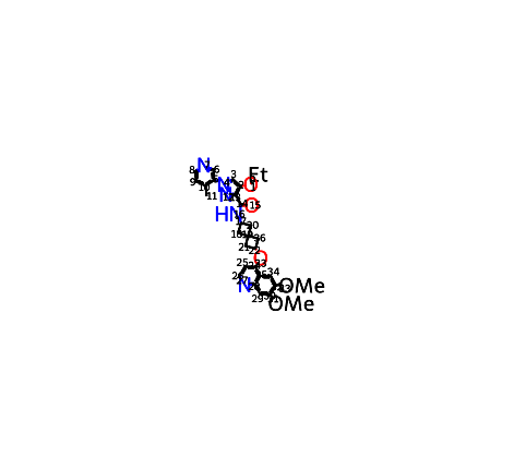 CCOc1cn(-c2cnccc2C)nc1C(=O)NC1CC2(C1)CC(Oc1ccnc3cc(OC)c(OC)cc13)C2